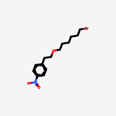 O=[N+]([O-])c1ccc(CCOCCCCCCBr)cc1